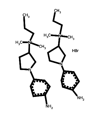 Br.CCC[N+](C)(C)C1CCN(c2ccc(N)cc2)C1.CCC[N+](C)(C)C1CCN(c2ccc(N)cc2)C1